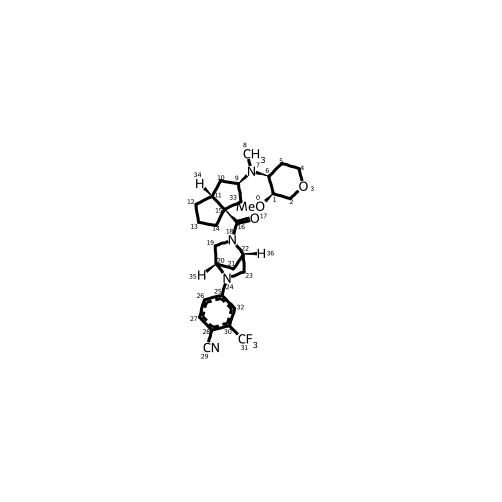 CO[C@@H]1COCC[C@@H]1N(C)[C@@H]1C[C@H]2CCC[C@@]2(C(=O)N2C[C@@H]3C[C@H]2CN3c2ccc(C#N)c(C(F)(F)F)c2)C1